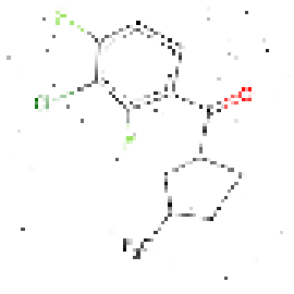 O=C(c1ccc(F)c(Cl)c1F)C1CCC(C(F)(F)F)C1